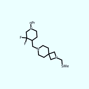 CCCN1CCC(CN2CCC3(CC2)CN(CSC)C3)C(F)(F)C1